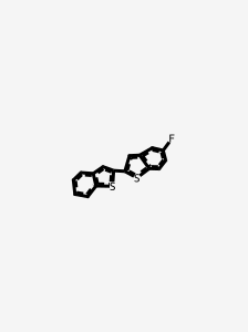 Fc1ccc2sc(-c3cc4ccccc4s3)cc2c1